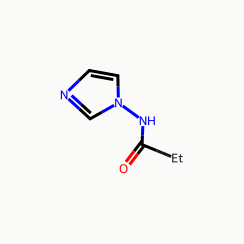 CCC(=O)Nn1ccnc1